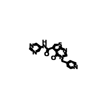 O=C(Nc1cncnc1)c1csc2ncn(Cc3ccncc3)c(=O)c12